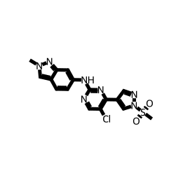 Cn1cc2ccc(Nc3ncc(Cl)c(-c4cnn(S(C)(=O)=O)c4)n3)cc2n1